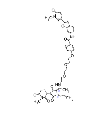 C=C/C=C1/C(=O)N(C2CCC(=O)N(C)C2=O)C(=O)/C1=C(/C)NCCOCCOCCOc1ccc(C(=O)Nc2ccc3nc(-c4ccc(=O)n(C)n4)oc3c2)nc1